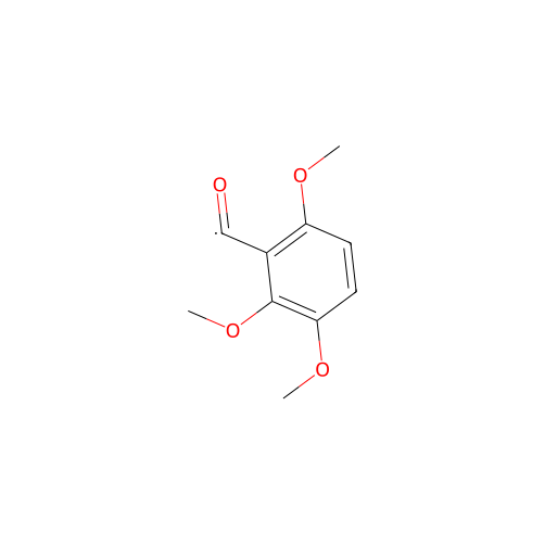 COc1ccc(OC)c(OC)c1[C]=O